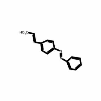 O=C(O)C=Cc1ccc(N=Nc2ccccc2)cc1